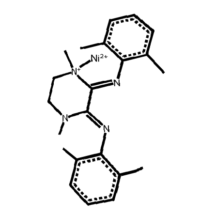 Cc1cccc(C)c1N=C1C(=Nc2c(C)cccc2C)[N+](C)([Ni+2])CCN1C